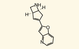 C1=C(c2cc3ncccc3o2)C[C@@H]2NC[C@H]12